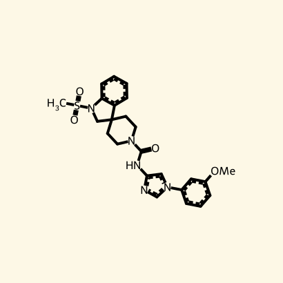 COc1cccc(-n2cnc(NC(=O)N3CCC4(CC3)CN(S(C)(=O)=O)c3ccccc34)c2)c1